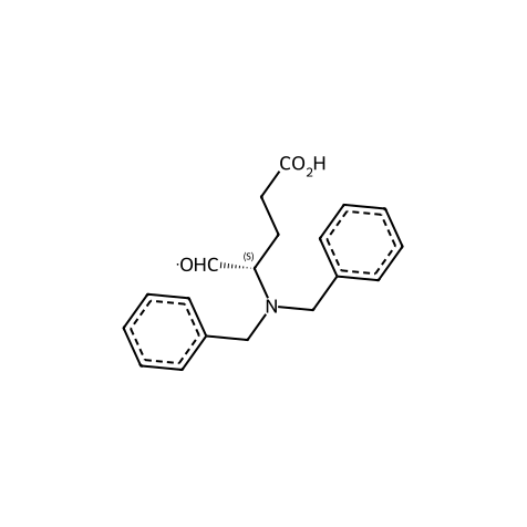 O=[C][C@H](CCC(=O)O)N(Cc1ccccc1)Cc1ccccc1